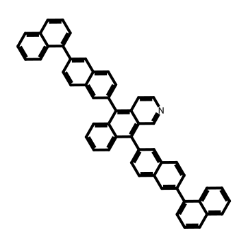 c1ccc2c(-c3ccc4cc(-c5c6ccccc6c(-c6ccc7cc(-c8cccc9ccccc89)ccc7c6)c6cnccc56)ccc4c3)cccc2c1